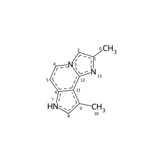 Cc1cn2ccc3[nH]cc(C)c3c2n1